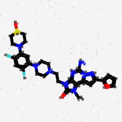 Cn1c(=O)n(CCN2CCN(c3cc(N4CC[S+]([O-])CC4)c(F)cc3F)CC2)c2nc(N)n3nc(-c4ccco4)cc3c21